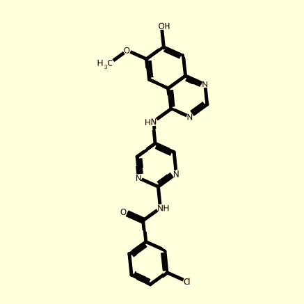 COc1cc2c(Nc3cnc(NC(=O)c4cccc(Cl)c4)nc3)ncnc2cc1O